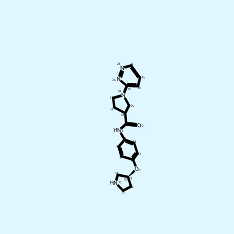 O=C(Nc1ccc(O[C@H]2CCNC2)cc1)C1CCN(c2cccnn2)C1